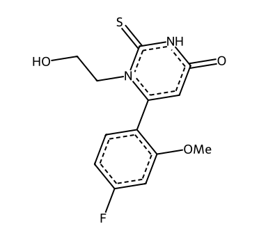 COc1cc(F)ccc1-c1cc(=O)[nH]c(=S)n1CCO